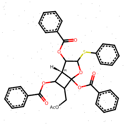 CC(=O)OCC1C(OC(=O)c2ccccc2)[C@@H]2C(OC(=O)c3ccccc3)C(Sc3ccccc3)OC12OC(=O)c1ccccc1